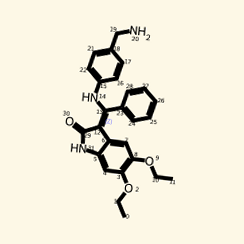 CCOc1cc2c(cc1OCC)/C(=C(/Nc1ccc(CN)cc1)c1ccccc1)C(=O)N2